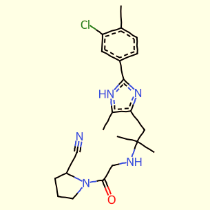 Cc1ccc(-c2nc(CC(C)(C)NCC(=O)N3CCCC3C#N)c(C)[nH]2)cc1Cl